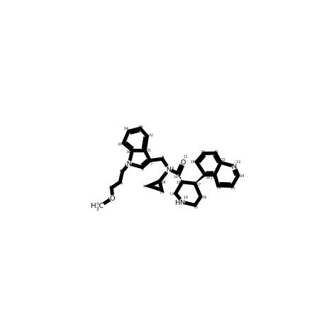 COCCCn1cc(CN(C(=O)[C@H]2CNCC[C@@H]2c2cccc3ncccc23)C2CC2)c2ccccc21